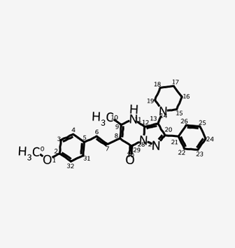 COc1ccc(/C=C/c2c(C)[nH]c3c(N4CCCCC4)c(-c4ccccc4)nn3c2=O)cc1